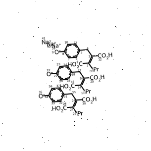 CC(C)C(C(=O)O)=C(Cc1ccc([O-])cc1)C(=O)O.CC(C)C(C(=O)O)=C(Cc1ccc([O-])cc1)C(=O)O.CC(C)C(C(=O)O)=C(Cc1ccc([O-])cc1)C(=O)O.[Na+].[Na+].[Na+]